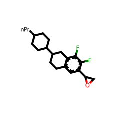 CCCC1CCC(C2CCc3cc(C4CO4)c(F)c(F)c3C2)CC1